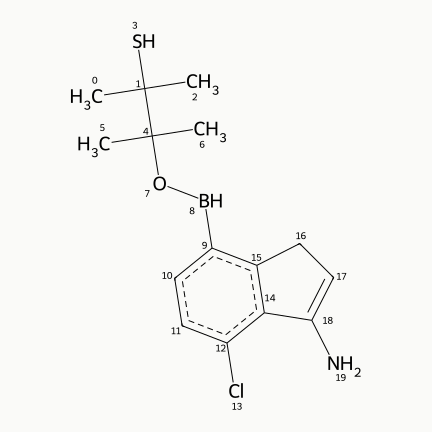 CC(C)(S)C(C)(C)OBc1ccc(Cl)c2c1CC=C2N